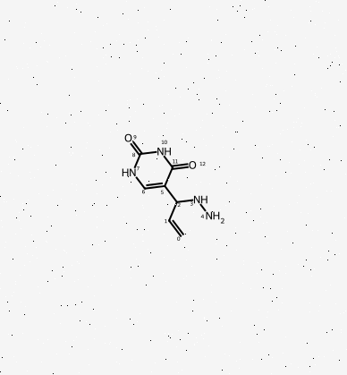 C=CC(NN)c1c[nH]c(=O)[nH]c1=O